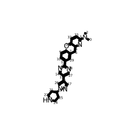 CN(C)C1=NC(Cc2cccc(-c3ncc(-c4cnn(C5CCNCC5)c4)cn3)c2)C(=O)C=C1